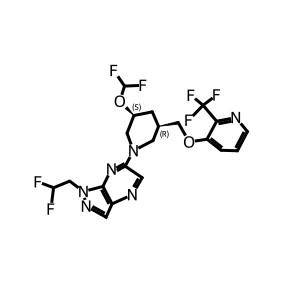 FC(F)Cn1ncc2ncc(N3C[C@H](COc4cccnc4C(F)(F)F)C[C@H](OC(F)F)C3)nc21